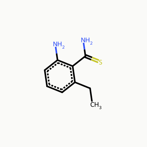 CCc1cccc(N)c1C(N)=S